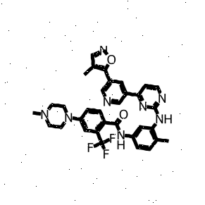 Cc1ccc(NC(=O)c2ccc(N3CCN(C)CC3)cc2C(F)(F)F)cc1Nc1nccc(-c2cncc(-c3oncc3C)c2)n1